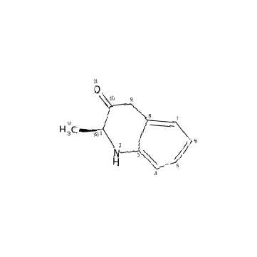 C[C@@H]1Nc2ccccc2CC1=O